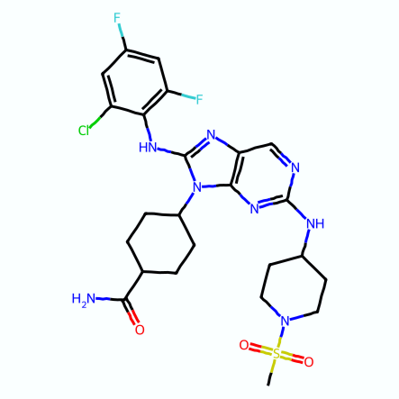 CS(=O)(=O)N1CCC(Nc2ncc3nc(Nc4c(F)cc(F)cc4Cl)n(C4CCC(C(N)=O)CC4)c3n2)CC1